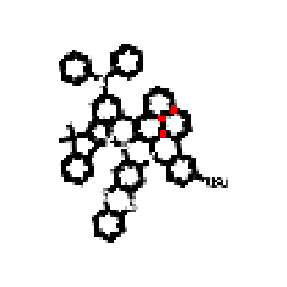 CC(C)(C)c1ccc(N2c3cc4c(cc3B3c5c2cc2ccccc2c5-c2cc(N(c5ccccc5)c5ccccc5)cc5c6c(n3c25)-c2ccccc2C6(C)C)Sc2ccccc2S4)c(-c2ccccc2)c1